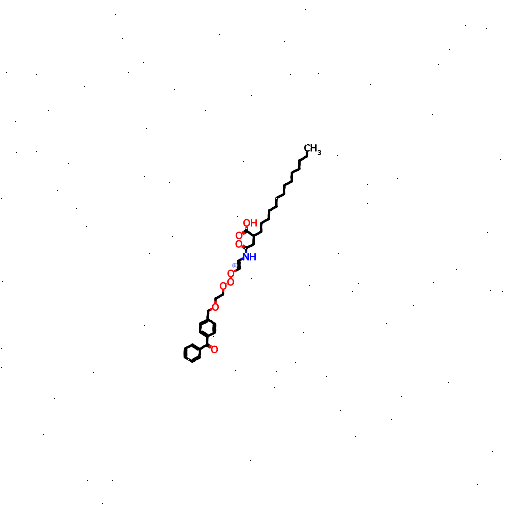 CCCCCCCCCCCCCCC(CC(=O)N/C=C/OOOCCOCc1ccc(C(=O)c2ccccc2)cc1)C(=O)O